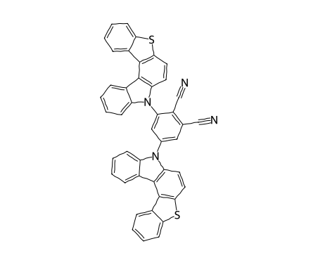 N#Cc1cc(-n2c3ccccc3c3c4c(ccc32)sc2ccccc24)cc(-n2c3ccccc3c3c4c(ccc32)sc2ccccc24)c1C#N